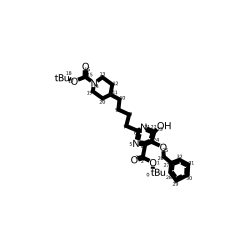 CC(C)(C)OC(=O)c1nc(CCCCC2CCN(C(=O)OC(C)(C)C)CC2)nc(O)c1OCc1ccccc1